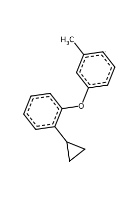 Cc1[c]ccc(Oc2ccccc2C2CC2)c1